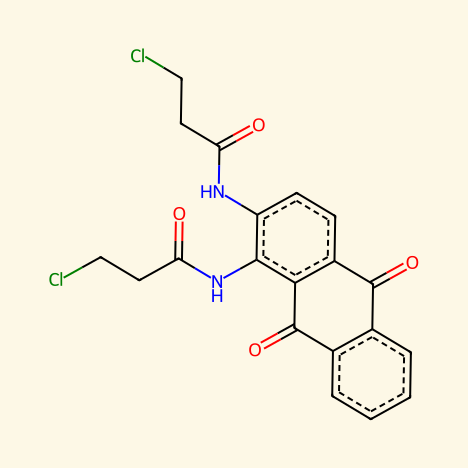 O=C(CCCl)Nc1ccc2c(c1NC(=O)CCCl)C(=O)c1ccccc1C2=O